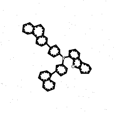 c1cc(-c2cccc3ccccc23)cc(N(c2ccc(-c3ccc4c(ccc5ccccc54)c3)cc2)c2cccc3c2oc2ccccc23)c1